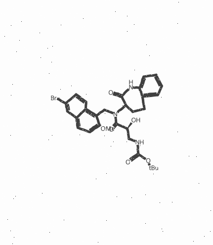 COc1ccc2cc(Br)ccc2c1CN(C(=O)[C@@H](O)CNC(=O)OC(C)(C)C)C1CCc2ccccc2NC1=O